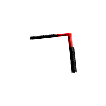 [O-2].[O-2].[O-2].[O-2].[O-2].[O-2].[O-2].[O-2].[O-2].[O-2].[O-2].[O-2].[O-2].[O-2].[O-2].[O-2].[O-2].[O-2].[O-2].[O-2].[O-2].[O-2].[O-2].[O-2].[O-2].[O-2].[O-2].[O-2].[O-2].[O-2].[O-2].[O-2].[O-2].[O-2].[O-2].[O-2].[O-2].[O-2].[O-2].[O-2].[O-2].[O-2].[O-2].[O-2].[O-2].[O-2].[O-2].[Pb+2].[Pb+2].[Pb+2].[Pb+2].[Pb+2].[Pb+2].[Pb+2].[Pb+2].[Pb+2].[Pb+2].[Pb+2].[Pb+2].[Pb+2].[Pb+2].[Pb+2].[Pb+2].[Pb+2].[Pb+2].[Pb+2].[Pb+2].[Pb+2].[Pb+2].[Pb+2].[Pb+2].[Pb+2].[Pb+2].[Pb+2].[Pb+2].[Pb+2].[Pb+2].[Pb+2].[Pb+2].[Pb+2].[Pb+2].[Pb+2].[Pb+2].[Pb+2].[Pb+2].[Pb+2].[Pb+2].[Pb+2].[Pb+2].[Pb+2].[Pb+2].[Pb+2].[Pb+2].[Pb+2].[Pb+2].[Pb+2].[Pb+2].[Pb+2].[Pb+2].[Pb+2].[Pb+2].[Pb+2].[Pb+2].[Pb+2].[Pb+2].[Pb+2].[Pb+2].[Pb+2].[Pb+2].[Pb+2].[Pb+2].[Pb+2].[Pb+2].[Pb+2].[Pb+2].[Pb+2].[Pb+2].[Pb+2].[Pb+2].[Pb+2].[Pb+2].[Pb+2].[Pb+2].[Pb+2].[Pb+2].[Pb+2].[Pb+2].[Pb+2].[Pb+2].[Pb+2].[Pb+2].[Pb+2].[Pb+2].[Pb+2]